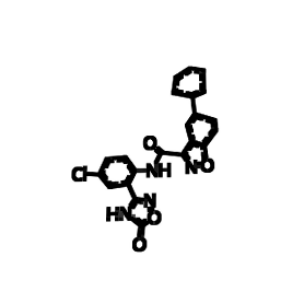 O=C(Nc1ccc(Cl)cc1-c1noc(=O)[nH]1)c1noc2ccc(-c3ccccc3)cc12